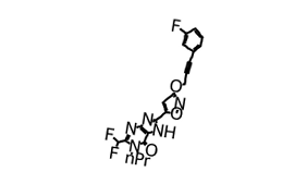 CCCn1c(C(F)F)nc2nc(-c3cc(OCC#Cc4cccc(F)c4)no3)[nH]c2c1=O